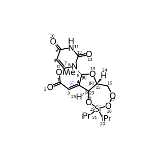 COC(=O)/C=C1\[C@H](n2ccc(=O)[nH]c2=O)O[C@@H]2COO[Si](C(C)C)(C(C)C)O[C@@H]12